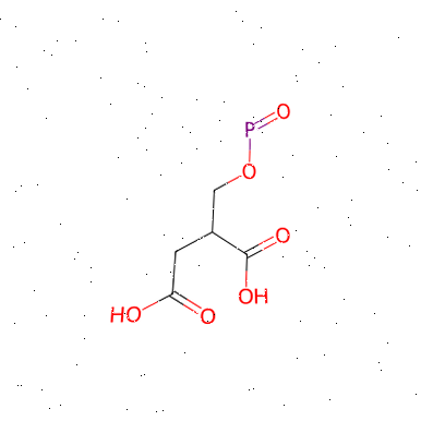 O=POCC(CC(=O)O)C(=O)O